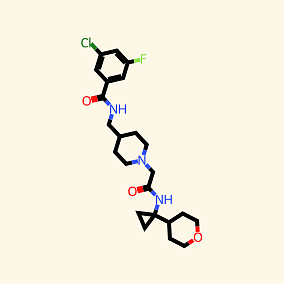 O=C(CN1CCC(CNC(=O)c2cc(F)cc(Cl)c2)CC1)NC1(C2CCOCC2)CC1